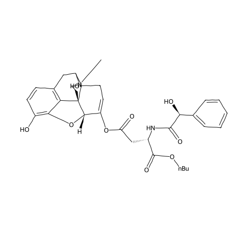 CCCCOC(=O)[C@H](CC(=O)OC1=CC[C@@]2(O)C3Cc4ccc(O)c5c4[C@@]2(CCN3C)[C@H]1O5)NC(=O)[C@@H](O)c1ccccc1